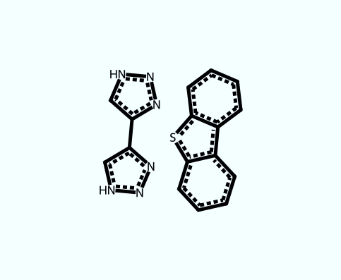 c1[nH]nnc1-c1c[nH]nn1.c1ccc2c(c1)sc1ccccc12